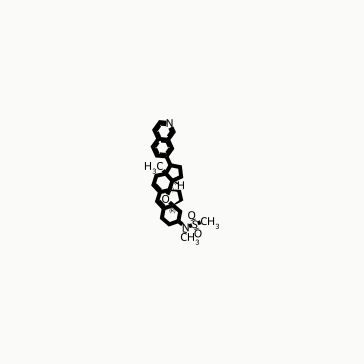 CN(C1CCC2=CC3=CCC4(C)C(c5ccc6ccncc6c5)CC[C@H]4[C@@]34CC[C@]2(C1)O4)S(C)(=O)=O